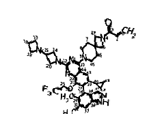 C=CC(=O)N1CC2(CCN(c3nc(N4CC(N5CCC5)C4)nc4c(OCC(F)(F)F)c(-c5c(C)c(C)cc6[nH]ncc56)c(C5CC5)cc34)CC2)C1